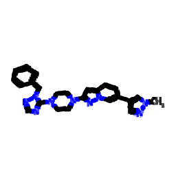 Cn1cc(-c2ccc3cc(N4CCN(c5ncnn5Cc5ccccc5)CC4)nn3c2)cn1